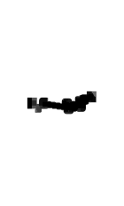 CCCCCCCCCCC(=O)Oc1ccc(C(=O)Sc2ccc(C#N)cc2)cc1